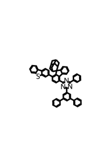 c1ccc(-c2cc(-c3ccccc3)cc(-c3nc(-c4ccccc4)nc(-c4ccc(-c5ccc6c(c5)sc5ccccc56)c5c4-c4ccccc4C54C5CC6CC(C5)CC4C6)n3)c2)cc1